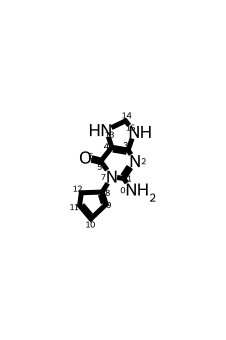 Nc1nc2c(c(=O)n1C1=CC=CC1)NCN2